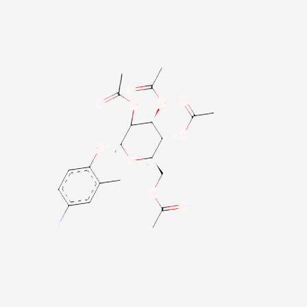 CC(=O)OC[C@H]1O[C@H](Oc2ccc(I)cc2C)[C@@](C)(OC(C)=O)[C@@H](OC(C)=O)[C@@H]1OC(C)=O